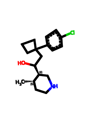 C[C@H]1CCNC[C@@H]1C(O)CC1(c2ccc(Cl)cc2)CCC1